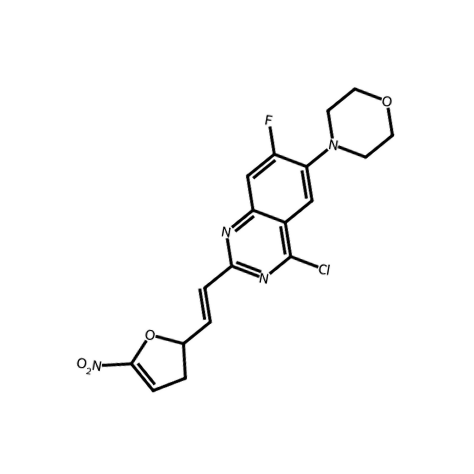 O=[N+]([O-])C1=CCC(/C=C/c2nc(Cl)c3cc(N4CCOCC4)c(F)cc3n2)O1